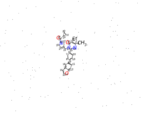 CCc1c(C)nc(-c2ccc(-c3ccc4occc4c3)cc2)n(CC2CCN(C(=O)C3CC3)C2)c1=O